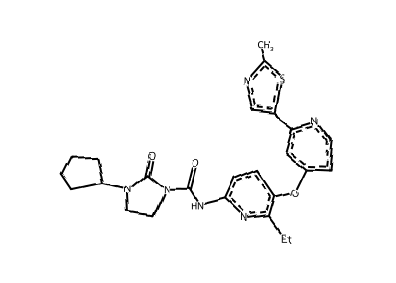 CCc1nc(NC(=O)N2CCN(C3CCCC3)C2=O)ccc1Oc1ccnc(-c2cnc(C)s2)c1